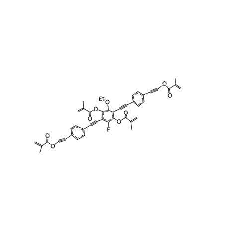 C=C(C)C(=O)OC#Cc1ccc(C#Cc2c(F)c(OC(=O)C(=C)C)c(C#Cc3ccc(C#COC(=O)C(=C)C)cc3)c(OCC)c2OC(=O)C(=C)C)cc1